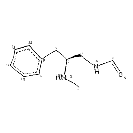 CN[C@H](CNC=O)Cc1ccccc1